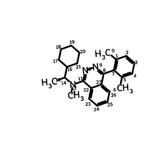 Cc1cccc(C)c1-c1nnc(N(C)C(C)C2CCCCC2)c2ccccc12